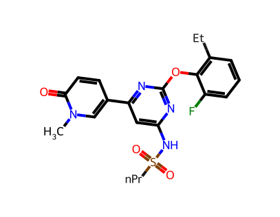 CCCS(=O)(=O)Nc1cc(-c2ccc(=O)n(C)c2)nc(Oc2c(F)cccc2CC)n1